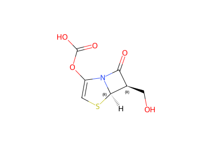 O=C(O)OC1=CS[C@@H]2[C@H](CO)C(=O)N12